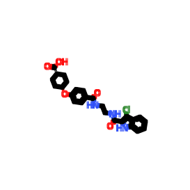 O=C(NCCNC(=O)c1[nH]c2ccccc2c1Cl)c1ccc(O[C@H]2CC[C@@H](C(=O)O)CC2)cc1